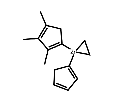 CC1=C(C)C(C)=[C]([Zr]2([C]3=CC=CC3)[CH2][CH2]2)C1